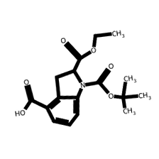 CCOC(=O)C1Cc2c(C(=O)O)cccc2N1C(=O)OC(C)(C)C